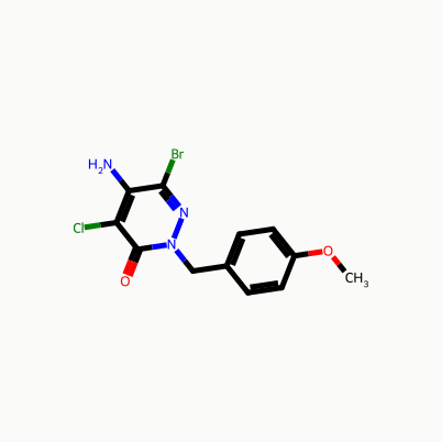 COc1ccc(Cn2nc(Br)c(N)c(Cl)c2=O)cc1